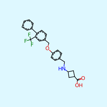 O=C(O)C1CC(NCc2ccc(OCc3ccc(-c4ccccc4)c(C(F)(F)F)c3)cc2)C1